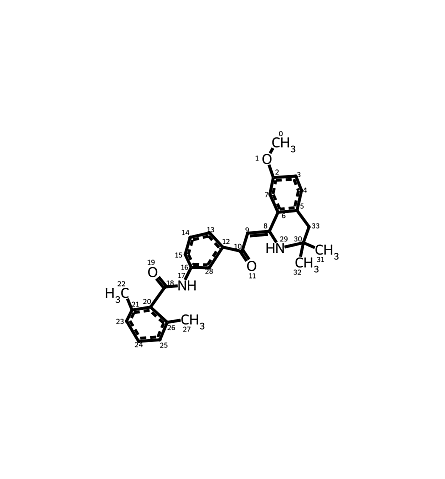 COc1ccc2c(c1)C(=CC(=O)c1cccc(NC(=O)c3c(C)cccc3C)c1)NC(C)(C)C2